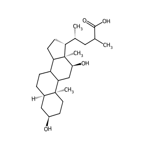 CC(C[C@@H](C)[C@H]1CCC2C3CC[C@@H]4C[C@H](O)CC[C@]4(C)C3C[C@H](O)[C@@]21C)C(=O)O